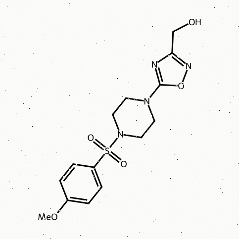 COc1ccc(S(=O)(=O)N2CCN(c3nc(CO)no3)CC2)cc1